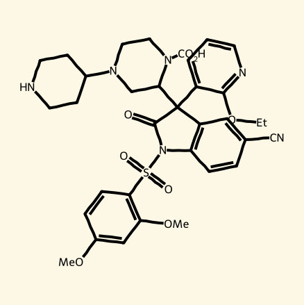 CCOc1ncccc1C1(C2CN(C3CCNCC3)CCN2C(=O)O)C(=O)N(S(=O)(=O)c2ccc(OC)cc2OC)c2ccc(C#N)cc21